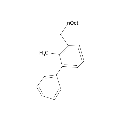 CCCCCCCCCc1cccc(-c2ccccc2)c1C